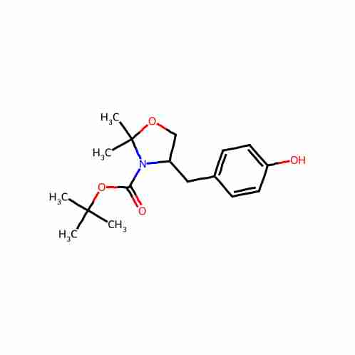 CC(C)(C)OC(=O)N1C(Cc2ccc(O)cc2)COC1(C)C